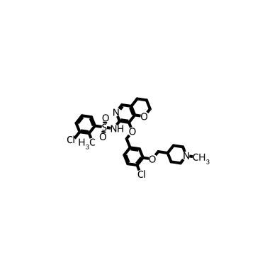 Cc1c(Cl)cccc1S(=O)(=O)Nc1ncc2c(c1OCc1ccc(Cl)c(OCC3CCN(C)CC3)c1)OCCC2